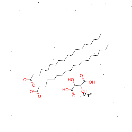 CCCCCCCCCCCCCCCCCC(=O)[O-].CCCCCCCCCCCCCCCCCC(=O)[O-].O=C(O)C(O)C(O)C(=O)O.[Mg+2]